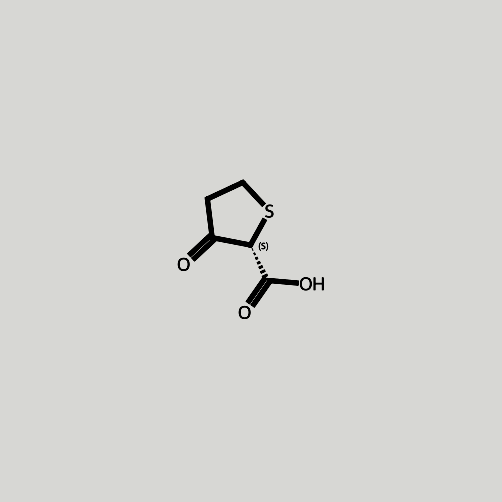 O=C(O)[C@H]1SCCC1=O